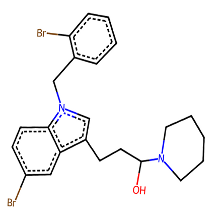 OC(CCc1cn(Cc2ccccc2Br)c2ccc(Br)cc12)N1CCCCC1